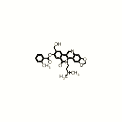 Cc1ccccc1C(=O)Oc1cc2c(=O)n(CCN(C)C)c3c4cc5c(cc4ncc3c2cc1CO)OCO5